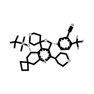 CC(C)(C)[Si](C)(C)O[C@H]1CC2(CCC2)Cc2nc(C3CCOCC3)c3c(c21)C1(CCOCC1)O[C@@H]3c1ccc(C(F)(F)F)c(C#N)c1